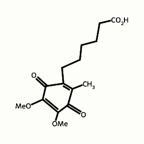 COC1=C(OC)C(=O)C(CCCCCC(=O)O)=C(C)C1=O